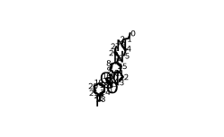 CCCN1CCN(c2ccc3c(ccn3S(=O)(=O)c3cccc(F)c3)c2)CC1